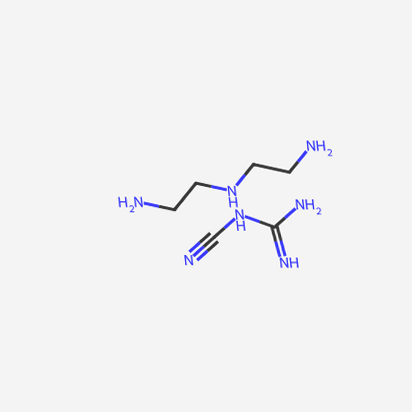 N#CNC(=N)N.NCCNCCN